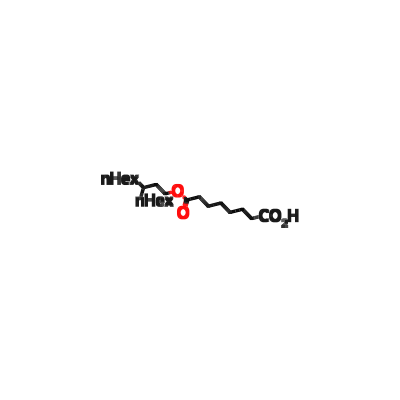 CCCCCCC(CCCCCC)CCOC(=O)CCCCCCC(=O)O